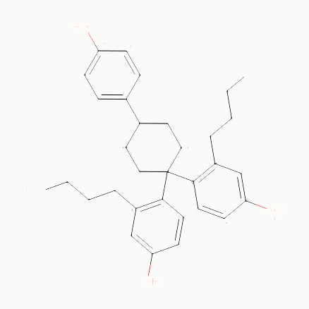 CCCCc1cc(O)ccc1C1(c2ccc(O)cc2CCCC)CCC(c2ccc(O)cc2)CC1